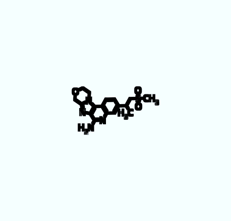 CC(CS(C)(=O)=O)c1ccc2c(c1)nc(N)c1nc3n(c12)CCOC3